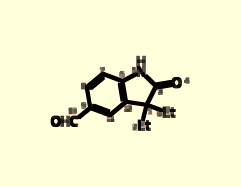 CCC1(CC)C(=O)Nc2ccc(C=O)cc21